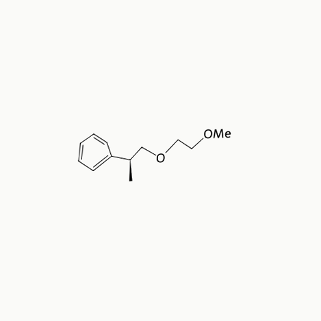 COCCOC[C@@H](C)c1ccccc1